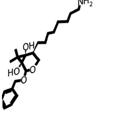 CC1(C)[C@@]2(O)C(OCc3ccccc3)OC[C@H](CCCCCCCCN)[C@]12O